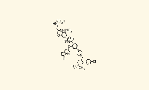 CC1(C)CCC(CN2CCN(c3ccc(C(=O)NS(=O)(=O)c4cc5c(c([N+](=O)[O-])c4)NC(CCNC(=O)O)CO5)c(Oc4cnc5[nH]ccc5c4)c3)CC2)=C(c2ccc(Cl)cc2)C1